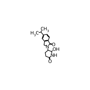 CC(C)c1ccc2c(c1)CN(C1CCC(=O)NC1O)C2=O